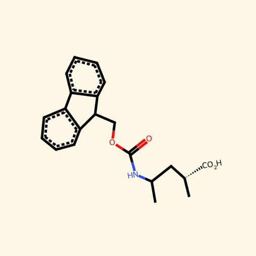 CC(C[C@@H](C)C(=O)O)NC(=O)OCC1c2ccccc2-c2ccccc21